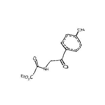 CCOC(=O)C(=O)NCC(=O)c1ccc(C#N)cc1